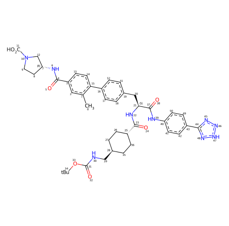 Cc1cc(C(=O)N[C@@H]2CCN(C(=O)O)C2)ccc1-c1ccc(C[C@H](NC(=O)[C@H]2CC[C@H](CNC(=O)OC(C)(C)C)CC2)C(=O)Nc2ccc(-c3nn[nH]n3)cc2)cc1